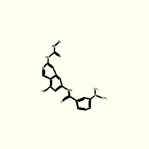 CCNC(=O)Nc1cc2cc(NC(=O)c3cccc(N(C)C)c3)cc(Cl)c2cn1